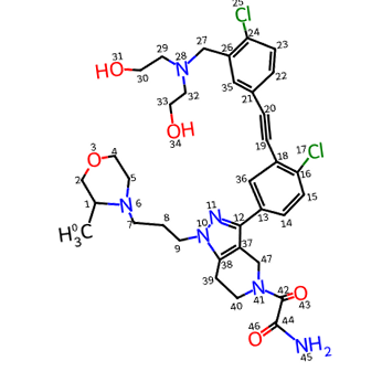 CC1COCCN1CCCn1nc(-c2ccc(Cl)c(C#Cc3ccc(Cl)c(CN(CCO)CCO)c3)c2)c2c1CCN(C(=O)C(N)=O)C2